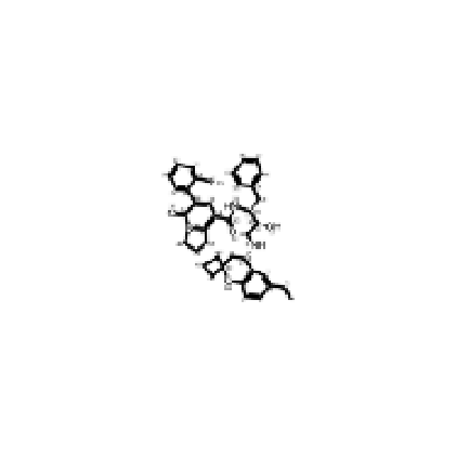 CCc1ccc2c(c1)[C@@H](NC[C@@H](O)[C@H](Cc1ccccc1)NC(=O)c1cc(-c3ccccc3F)c(=O)n3c1CCC3)CC1(CCC1)O2